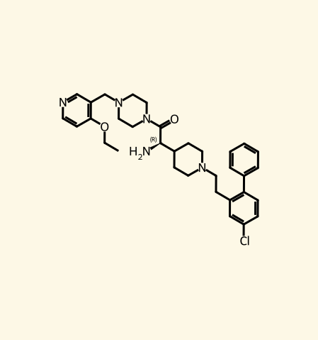 CCOc1ccncc1CN1CCN(C(=O)[C@H](N)C2CCN(CCc3cc(Cl)ccc3-c3ccccc3)CC2)CC1